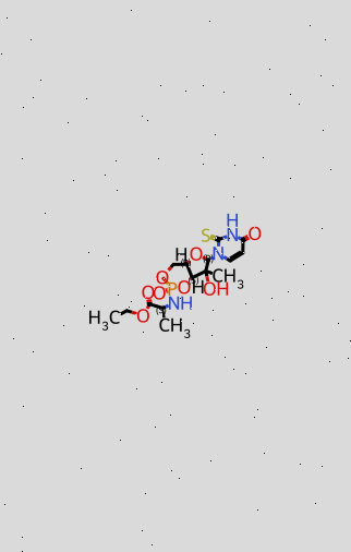 CCOC(=O)[C@H](C)NP1(=O)OC[C@H]2O[C@@H](n3ccc(=O)[nH]c3=S)C(C)(O)[C@H]2O1